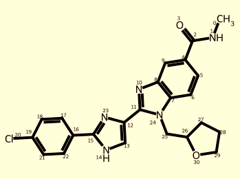 CNC(=O)c1ccc2c(c1)nc(-c1c[nH]c(-c3ccc(Cl)cc3)n1)n2CC1CCCO1